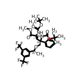 COC(=O)/C(=C/[C@](CO[C@H](C)c1cc(C(F)(F)F)cc(C(F)(F)F)c1)(NC(=O)OC(C)(C)C)c1ccccc1)NC(=O)OC(C)(C)C